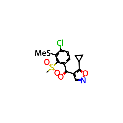 CSc1c(Cl)ccc(C(=O)c2cnoc2C2CC2)c1S(C)(=O)=O